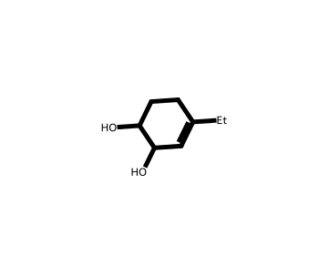 CCC1=CC(O)C(O)CC1